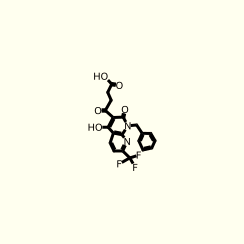 O=C(O)CCC(=O)c1c(O)c2ccc(C(F)(F)F)nc2n(Cc2ccccc2)c1=O